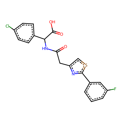 O=C(Cc1csc(-c2cccc(F)c2)n1)NC(C(=O)O)c1ccc(Cl)cc1